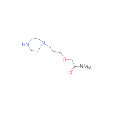 CNC(=O)COCCCN1CCNCC1